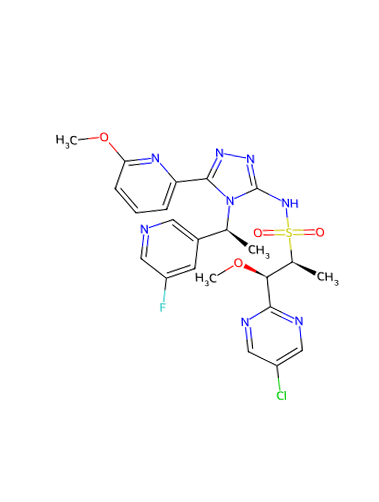 COc1cccc(-c2nnc(NS(=O)(=O)[C@@H](C)[C@H](OC)c3ncc(Cl)cn3)n2[C@@H](C)c2cncc(F)c2)n1